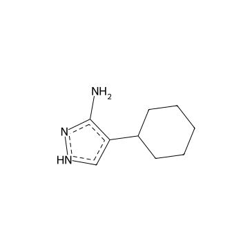 Nc1n[nH]cc1C1CCCCC1